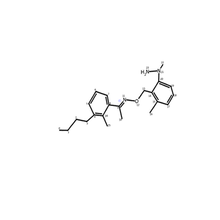 CCCCc1cccc(/C(C)=N/OCc2c(C)cccc2N(C)N)c1C